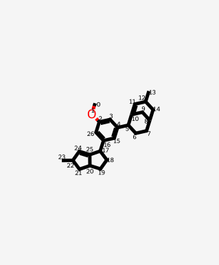 COc1cc(C2CCC3CC2=CC(C)C3)cc(C2CCC3CC(C)C=C32)c1